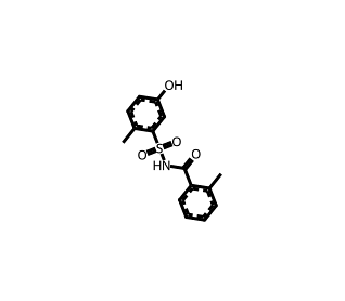 Cc1ccccc1C(=O)NS(=O)(=O)c1cc(O)ccc1C